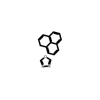 C1=Cc2cccc3cccc(c23)C1.c1nnco1